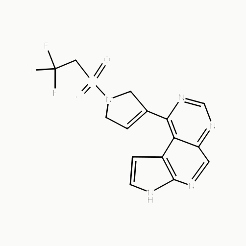 O=S(=O)(CC(F)(F)F)N1CC=C(c2ncnc3cnc4[nH]ccc4c23)C1